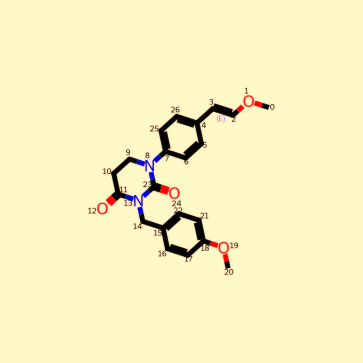 CO/C=C/c1ccc(N2CCC(=O)N(Cc3ccc(OC)cc3)C2=O)cc1